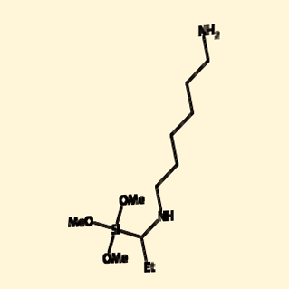 CCC(NCCCCCCN)[Si](OC)(OC)OC